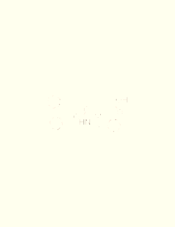 O=C(O)CCO[C@@H](Cc1ccccc1)NC(=O)OCC1c2ccccc2-c2ccccc21